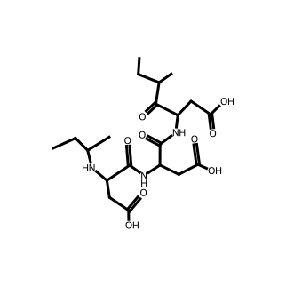 CCC(C)NC(CC(=O)O)C(=O)NC(CC(=O)O)C(=O)NC(CC(=O)O)C(=O)C(C)CC